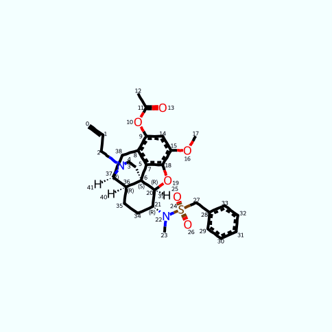 C=CCN1CC[C@]23c4c5c(OC(C)=O)cc(OC)c4O[C@H]2[C@H](N(C)S(=O)(=O)Cc2ccccc2)CC[C@H]3[C@H]1C5